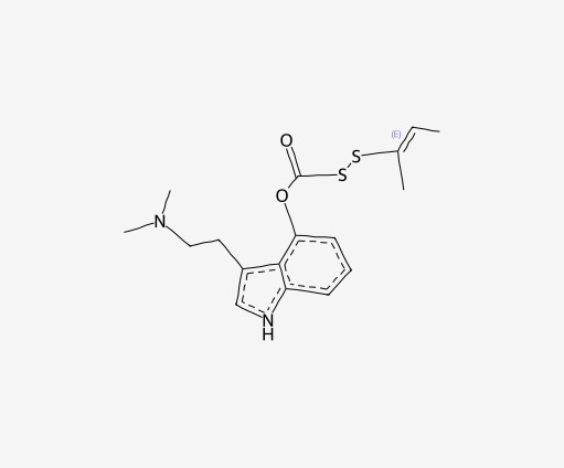 C/C=C(\C)SSC(=O)Oc1cccc2[nH]cc(CCN(C)C)c12